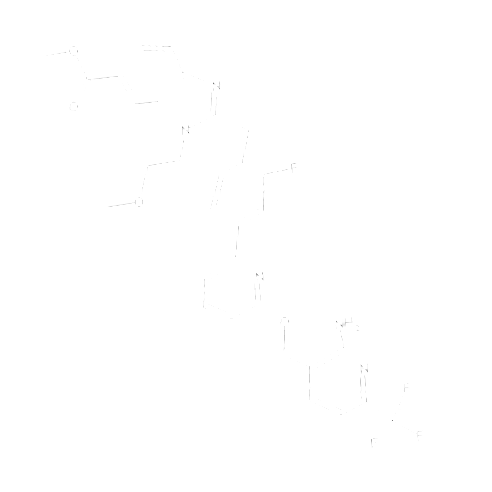 COCCn1c(Cc2ccc(-c3cccc(OCc4ccc(C(F)(F)F)nc4N)n3)cc2F)nc2ccc(C(=O)OC)cc21